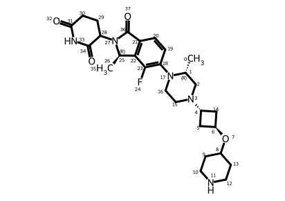 C[C@@H]1CN([C@H]2C[C@H](OC3CCNCC3)C2)CCN1c1ccc2c(c1F)[C@@H](C)N(C1CCC(=O)NC1=O)C2=O